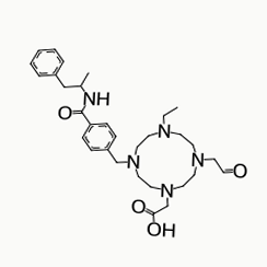 CCN1CCN(CC=O)CCN(CC(=O)O)CCN(Cc2ccc(C(=O)NC(C)Cc3ccccc3)cc2)CC1